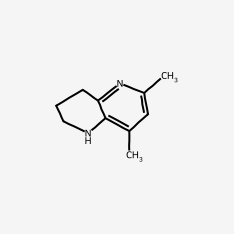 Cc1cc(C)c2c(n1)CCCN2